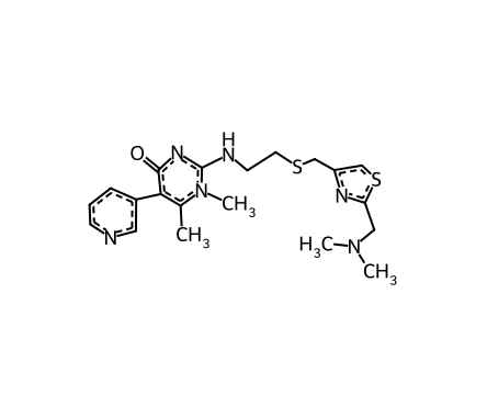 Cc1c(-c2cccnc2)c(=O)nc(NCCSCc2csc(CN(C)C)n2)n1C